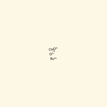 C.[O-2].[O-2].[Ru+4]